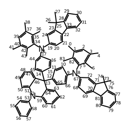 Cc1cc(C)c(C)c(N(c2ccc(C3(c4ccc(N(c5ccc6c(c5)C(C)(C)c5ccccc5-6)c5c(C)c(C)cc(C)c5C)cc4)c4ccccc4N(c4ccccc4)c4ccccc43)cc2)c2ccc3c(c2)C(C)(C)c2ccccc2-3)c1C